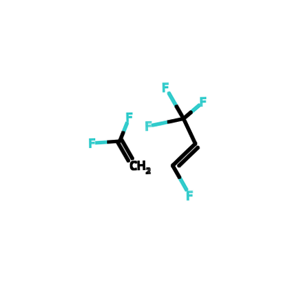 C=C(F)F.F/C=C/C(F)(F)F